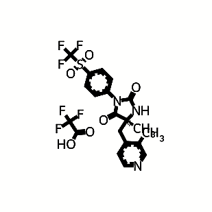 Cc1cnccc1C[C@@]1(C)NC(=O)N(c2ccc(S(=O)(=O)C(F)(F)F)cc2)C1=O.O=C(O)C(F)(F)F